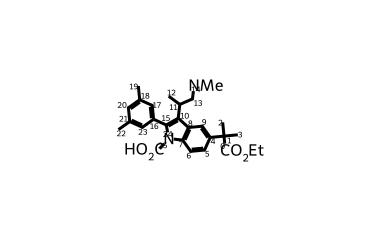 CCOC(=O)C(C)(C)c1ccc2c(c1)c(C(C)CNC)c(-c1cc(C)cc(C)c1)n2C(=O)O